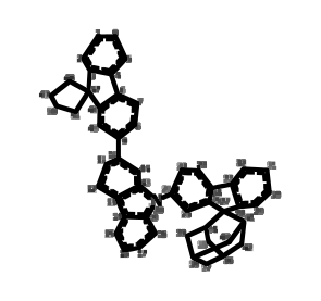 c1ccc2c(c1)-c1ccc(-c3ccc4c5ccccc5n(-c5ccc6c(c5)C5(c7ccccc7-6)C6CC7CC(C6)CC5C7)c4c3)cc1C21CCCC1